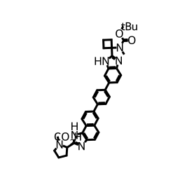 CN(C(=O)OC(C)(C)C)C1(c2nc3ccc(-c4ccc(-c5ccc6c(ccc7nc(C8CCCN8C(=O)O)[nH]c76)c5)cc4)cc3[nH]2)CCC1